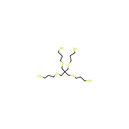 SCCCSCC(CSCCCS)(CSCCCS)CSCCCS